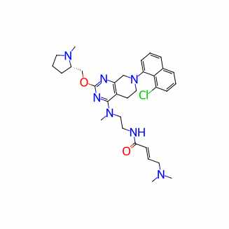 CN(C)C/C=C/C(=O)NCCN(C)c1nc(OC[C@@H]2CCCN2C)nc2c1CCN(c1cccc3cccc(Cl)c13)C2